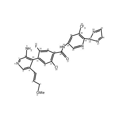 COCC=Cc1cncc(N)c1-c1cc(Cl)c(C(=O)Nc2cnc(-n3nccn3)c(C(F)(F)F)c2)cc1F